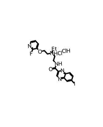 CCN(CCNC(=O)c1cnc2cc(I)ccc2n1)CCOc1cccnc1F.Cl.Cl